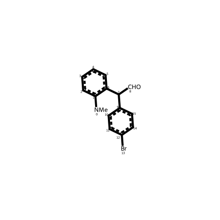 CNc1ccccc1C(C=O)c1ccc(Br)cc1